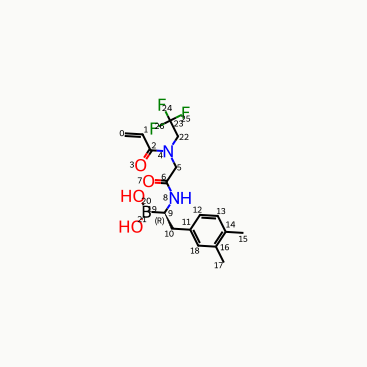 C=CC(=O)N(CC(=O)N[C@@H](Cc1ccc(C)c(C)c1)B(O)O)CC(F)(F)F